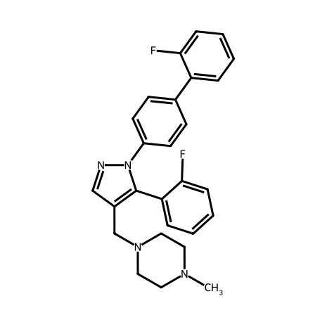 CN1CCN(Cc2cnn(-c3ccc(-c4ccccc4F)cc3)c2-c2ccccc2F)CC1